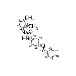 CC1CCC(=NC(=O)Nc2ccc(OCc3ccccc3)cc2)N1C